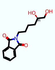 O=C1c2ccccc2C(=O)N1CCCC[C@@H](O)CO